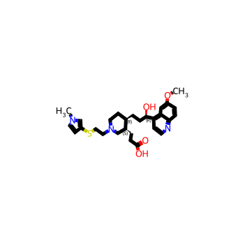 COc1ccc2nccc([C@H](O)CC[C@@H]3CCN(CCSc4ccn(C)c4)C[C@H]3CCC(=O)O)c2c1